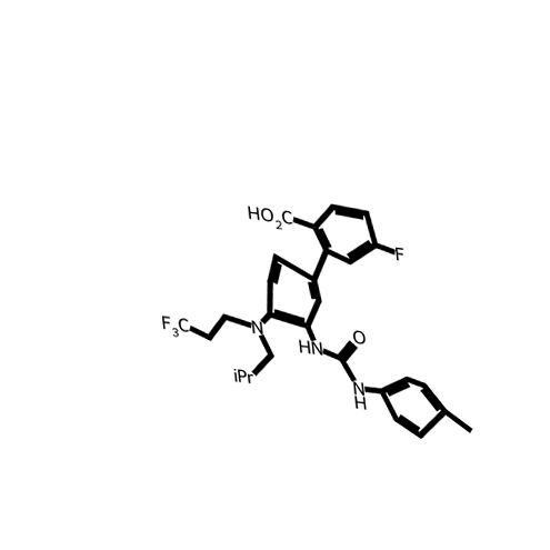 Cc1ccc(NC(=O)Nc2cc(-c3cc(F)ccc3C(=O)O)ccc2N(CCC(F)(F)F)CC(C)C)cc1